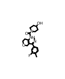 C/N=C(\C1=C(NC(=O)N2CCC(O)CC2)CCOC1)c1ccc(C)c(F)c1